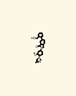 COc1cc(N2Cc3ccc(-c4ccccc4CO)cc3C2=O)ccc1-n1cnc(C)c1